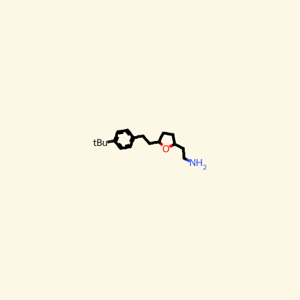 CC(C)(C)c1ccc(CCC2CCC(CCN)O2)cc1